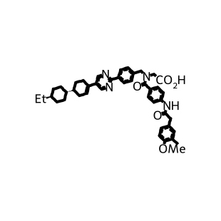 CC[C@H]1CC[C@H](C2CC=C(c3cnc(-c4ccc(CN(CC(=O)O)C(=O)c5ccc(NC(=O)Cc6ccc(OC)c(C)c6)cc5)cc4)nc3)CC2)CC1